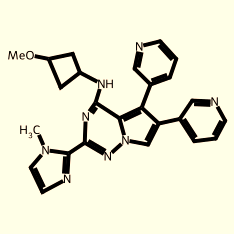 COC1CC(Nc2nc(-c3nccn3C)nn3cc(-c4cccnc4)c(-c4cccnc4)c23)C1